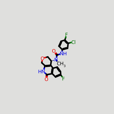 CN(C(=O)Nc1ccc(F)c(Cl)c1)[C@H]1COCc2[nH]c(=O)c3cc(F)ccc3c21